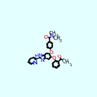 CC(=O)c1ccccc1Oc1cc2nc(-c3ccccn3)[nH]c2cc1Oc1ccc(C(=O)N(C)C)cc1